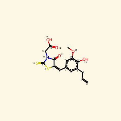 C=CCc1cc(/C=C2/SC(=S)N(CC(=O)O)C2=O)cc(OC)c1O